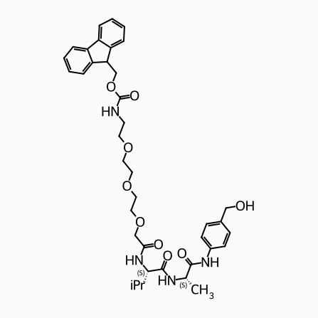 CC(C)[C@H](NC(=O)COCCOCCOCCNC(=O)OCC1c2ccccc2-c2ccccc21)C(=O)N[C@@H](C)C(=O)Nc1ccc(CO)cc1